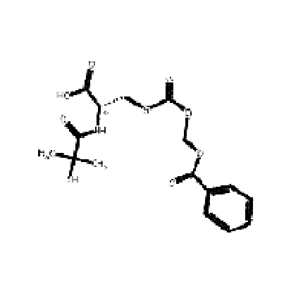 CC(C)(S)C(=O)N[C@@H](CSC(=O)OCOC(=O)c1ccccc1)C(=O)O